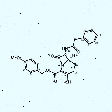 COc1ccc(COC(=O)C2=C(S)CS[C@@H]3[C@H](NC(=O)Cc4ccccc4)C(=O)N23)cc1